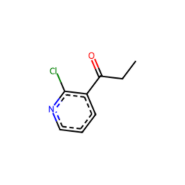 CCC(=O)c1cccnc1Cl